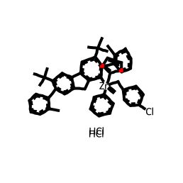 Cl.Cl.[CH2]=[Zr]([CH2]c1ccc(Cl)cc1)([C]1=CC=CC1)([c]1ccccc1)[c]1c2c(cc(C(C)(C)C)c1-c1ccccc1C)-c1cc(C(C)(C)C)c(-c3ccccc3C)cc1C2